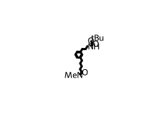 CNC(=O)CCCCc1cccc(CCCNC(=O)OC(C)(C)C)c1